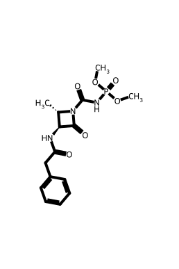 COP(=O)(NC(=O)N1C(=O)[C@@H](NC(=O)Cc2ccccc2)[C@@H]1C)OC